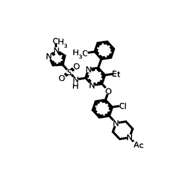 CCc1c(Oc2cccc(N3CCN(C(C)=O)CC3)c2Cl)nc(NS(=O)(=O)c2cnn(C)c2)nc1-c1ccccc1C